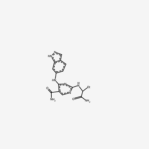 CCC(Nc1ncc(C(N)=O)c(Nc2ccc3cn[nH]c3c2)n1)C(N)=O